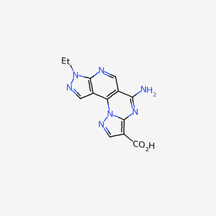 CCn1ncc2c1ncc1c(N)nc3c(C(=O)O)cnn3c12